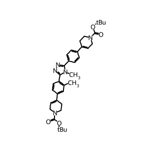 Cc1cc(C2=CCN(C(=O)OC(C)(C)C)CC2)ccc1-c1nnc(-c2ccc(C3=CCN(C(=O)OC(C)(C)C)CC3)cc2)n1C